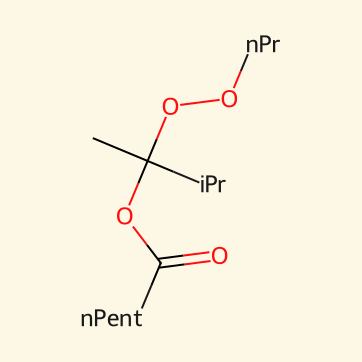 CCCCCC(=O)OC(C)(OOCCC)C(C)C